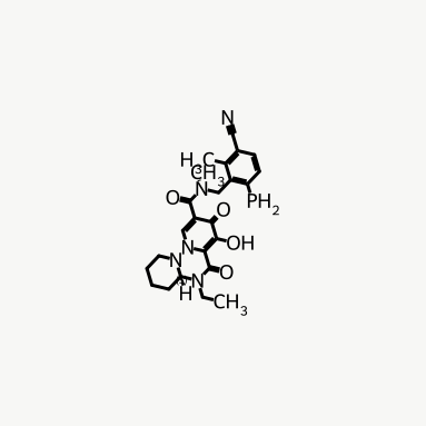 CCN1C(=O)c2c(O)c(=O)c(C(=O)N(C)Cc3c(P)ccc(C#N)c3C)cn2N2CCCC[C@@H]12